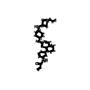 C=CC(=O)Nc1cccc(-c2cccc3cnc(Nc4ccc(NC5CN(CCF)C5)cc4)nc23)c1